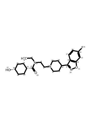 CCN(CCN1CCC(c2noc3cc(F)ccc23)CC1)C(=O)[C@H]1CC[C@@H](O)CC1